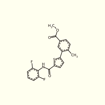 COC(=O)c1ccc(C)c(-c2ccc(C(=O)Nc3c(F)cccc3F)s2)c1